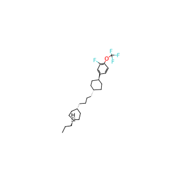 CCC[Si@H]1CC[C@H](CCCC[C@H]2CC[C@H](c3ccc(OC(F)(F)F)c(F)c3)CC2)CC1